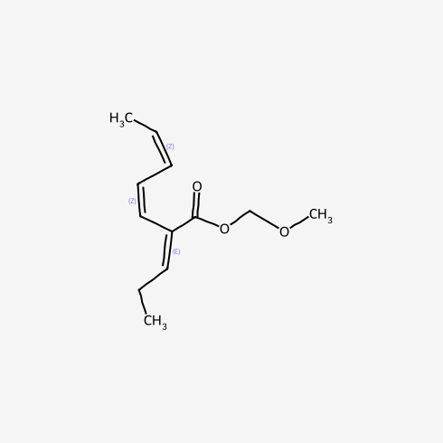 C\C=C/C=C\C(=C/CC)C(=O)OCOC